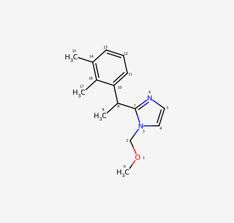 COCn1ccnc1C(C)c1cccc(C)c1C